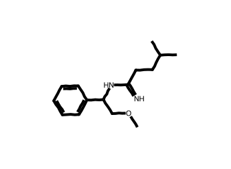 COCC(NC(=N)CCC(C)C)c1ccccc1